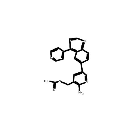 CC(=O)OCc1cc(-c2ccc3nccc(-c4ccncc4)c3c2)cnc1N